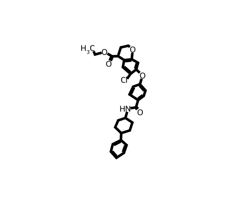 CCOC(=O)C1CCOc2cc(Oc3ccc(C(=O)NC4CCC(c5ccccc5)CC4)cc3)c(Cl)cc21